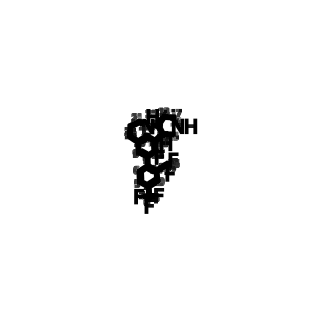 FC(F)(F)c1ccc(-c2cc3c4c(c2)[C@@H]2CNCC[C@@H]2N4CCC3)c(C(F)(F)F)c1